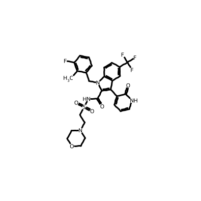 Cc1c(F)cccc1Cn1c(C(=O)NS(=O)(=O)CCN2CCOCC2)c(-c2ccc[nH]c2=O)c2cc(C(F)(F)F)ccc21